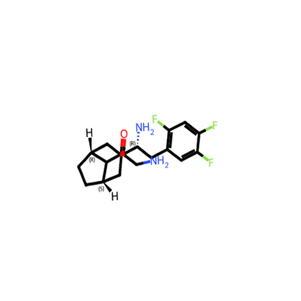 NCC(=O)C1[C@@H]2CC[C@H]1CC([C@H](N)Cc1cc(F)c(F)cc1F)C2